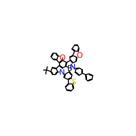 CC(C)(C)c1ccc2c(c1)c1c3c(oc4ccccc43)c3c4c1n2-c1cc2c(cc1B4N(c1ccc(-c4ccccc4)cc1)c1cc4oc5ccccc5c4cc1-3)sc1ccccc12